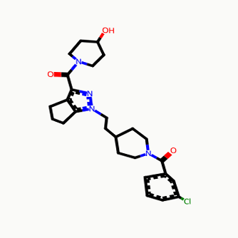 O=C(c1cccc(Cl)c1)N1CCC(CCn2nc(C(=O)N3CCC(O)CC3)c3c2CCC3)CC1